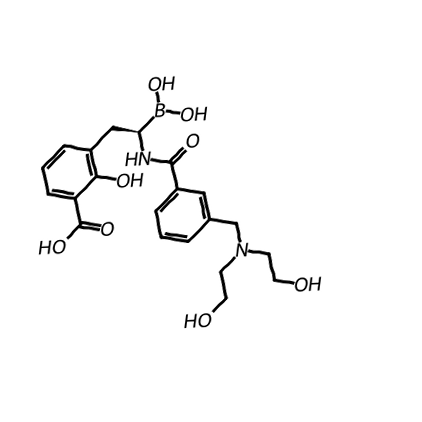 O=C(N[C@@H](Cc1cccc(C(=O)O)c1O)B(O)O)c1cccc(CN(CCO)CCO)c1